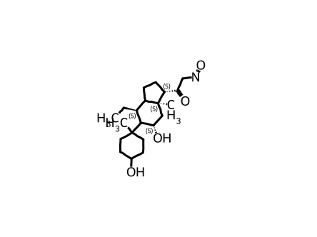 CC[C@@H]1C(C2(C)CCC(O)CC2)[C@@H](O)C[C@@]2(C)C1CC[C@@H]2C(=O)CN=O